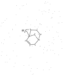 [CH2]C12C=CCC(CCC1)C2